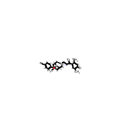 Cc1cc(C(=O)/C=C/N2CC3CN(C)CC(C2)N3Cc2ccc(F)cc2)c(N)cc1Cl